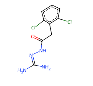 NC(N)=NNC(=O)Cc1c(Cl)cccc1Cl